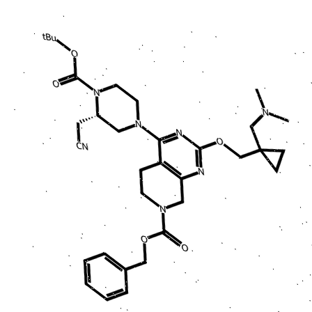 CN(C)CC1(COc2nc3c(c(N4CCN(C(=O)OC(C)(C)C)[C@@H](CC#N)C4)n2)CCN(C(=O)OCc2ccccc2)C3)CC1